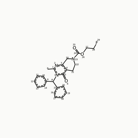 Cc1nc2c(c(=O)n1C(c1ccccc1)c1ccccc1)CCN(C(=O)OCCF)C2